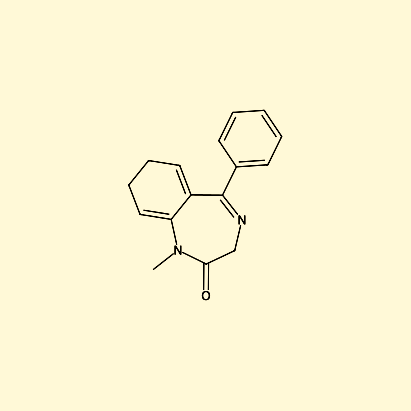 CN1C(=O)CN=C(c2ccccc2)C2=CCCC=C21